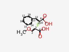 COC=CC(=O)O.O=C(O)C(F)=Cc1ccccc1